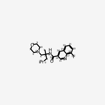 CC(C)CC(C)(CN1CCOCC1)NC(=O)c1cnc2c(F)cccc2c1